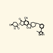 Cc1n[nH]cc1-c1cccc(CN2CCC3(CC2)COc2c3cc(C#N)c3c2CN([C@H]2CCC(=O)NC2=O)C3=O)c1